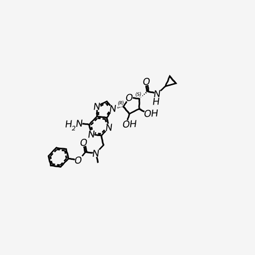 CN(Cc1nc(N)c2ncn([C@@H]3O[C@H](C(=O)NC4CC4)C(O)C3O)c2n1)C(=O)Oc1ccccc1